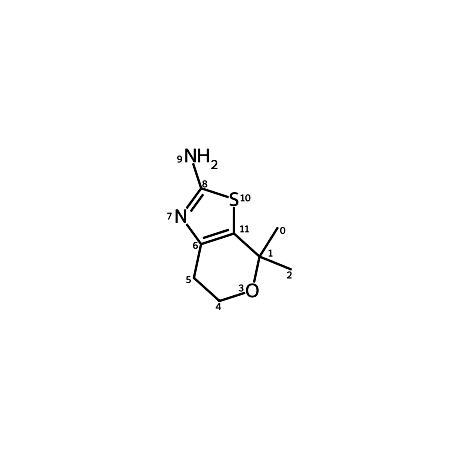 CC1(C)OCCc2nc(N)sc21